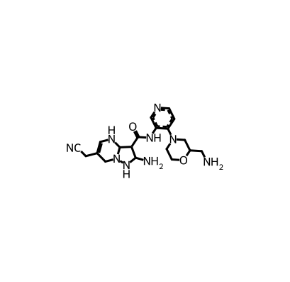 N#CCC1=CNC2C(C(=O)Nc3cnccc3N3CCOC(CN)C3)C(N)NN2C1